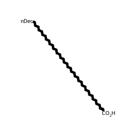 CCCCCCCCCCCCCCCCCCCCCCCCCCCCCCCCCCCCCCCCCCCCCCCC=CC(=O)O